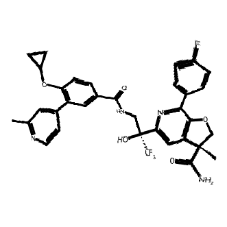 Cc1cc(-c2cc(C(=O)NC[C@](O)(c3cc4c(c(-c5ccc(F)cc5)n3)OC[C@]4(C)C(N)=O)C(F)(F)F)ccc2OC2CC2)ccn1